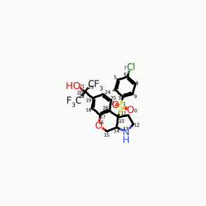 O=S(=O)(c1ccc(Cl)cc1)C12CCNC1COc1cc(C(O)(C(F)(F)F)C(F)(F)F)ccc12